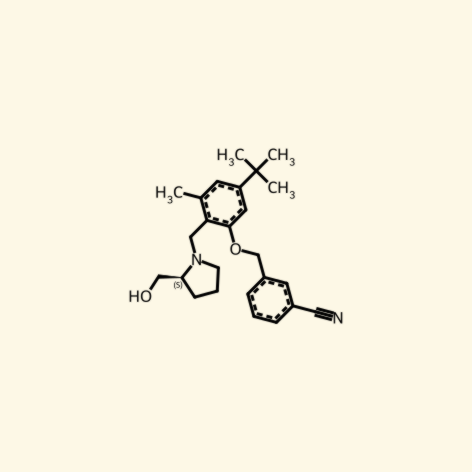 Cc1cc(C(C)(C)C)cc(OCc2cccc(C#N)c2)c1CN1CCC[C@H]1CO